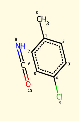 Cc1ccc(Cl)cc1.N=C=O